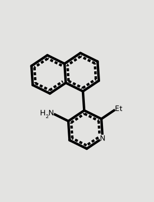 CCc1nccc(N)c1-c1cccc2ccccc12